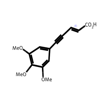 COc1cc(C#C/C=C/C(=O)O)cc(OC)c1OC